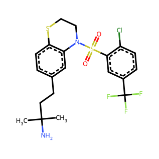 CC(C)(N)CCc1ccc2c(c1)N(S(=O)(=O)c1cc(C(F)(F)F)ccc1Cl)CCS2